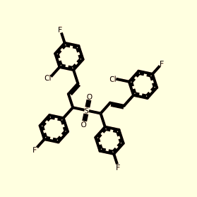 O=S(=O)(C(C=Cc1ccc(F)cc1Cl)c1ccc(F)cc1)C(C=Cc1ccc(F)cc1Cl)c1ccc(F)cc1